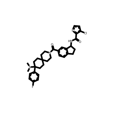 CN(C)C1(c2ccc(F)cc2)CCC2(CCN(C(=O)c3ccc4c(c3)C(NC(=O)c3sccc3Cl)CC4)CC2)CC1